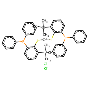 C[Si](C)(C)c1cccc(P(c2ccccc2)c2ccccc2)c1[S][Zr+2][S]c1c(P(c2ccccc2)c2ccccc2)cccc1[Si](C)(C)C.[Cl-].[Cl-]